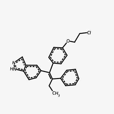 CC/C(=C(/c1ccc(OCCCl)cc1)c1ccc2[nH]ncc2c1)c1ccccc1